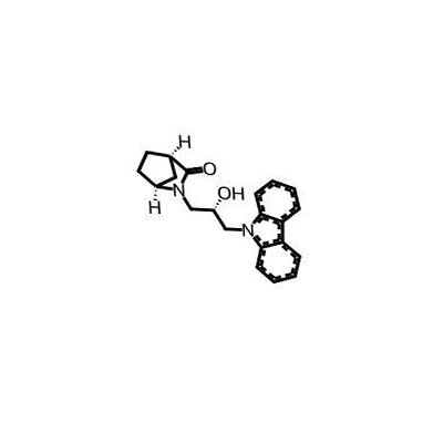 O=C1[C@@H]2CC[C@@H](C2)N1C[C@H](O)Cn1c2ccccc2c2ccccc21